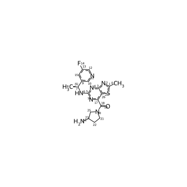 Cc1nc2nc(N[C@@H](C)c3cncc(F)c3)nc(C(=O)N3CCC(N)C3)c2s1